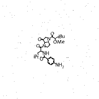 CCC(C)C(OC)C(=O)N1CC(=O)C2C1CCN2C(=O)C(CC(C)C)NC(=O)c1ccc(N)cc1